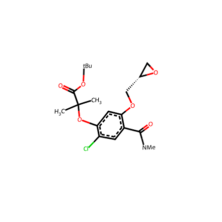 CNC(=O)c1cc(Cl)c(OC(C)(C)C(=O)OC(C)(C)C)cc1OC[C@@H]1CO1